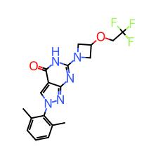 Cc1cccc(C)c1-n1cc2c(=O)[nH]c(N3CC(OCC(F)(F)F)C3)nc2n1